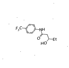 CCC(O)CC(=O)Nc1ccc(C(F)(F)F)cc1